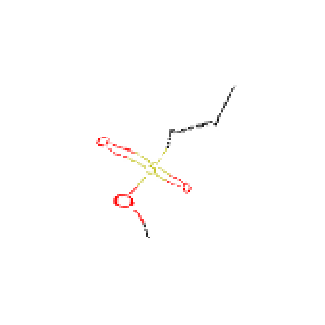 CCCS(=O)(=O)OC